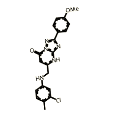 COc1ccc(-c2nc3[nH]c(CNc4ccc(C)c(Cl)c4)cc(=O)n3n2)cc1